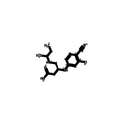 CCC(C)NC[C@H](CC(=O)O)Nc1ccc(C#N)c(Cl)c1